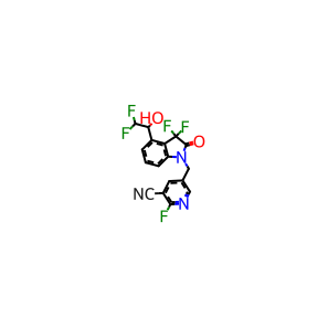 N#Cc1cc(CN2C(=O)C(F)(F)c3c(C(O)C(F)F)cccc32)cnc1F